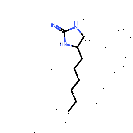 CCCCCCC1CNC(=N)N1